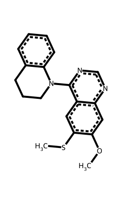 COc1cc2ncnc(N3CCCc4ccccc43)c2cc1SC